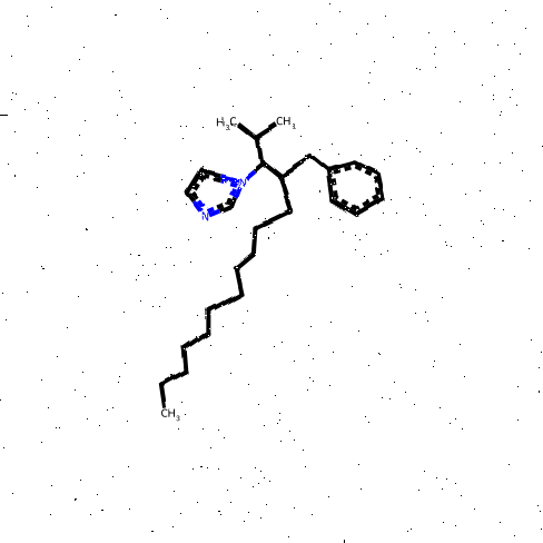 CCCCCCCCCCCC(Cc1ccccc1)C(C(C)C)n1ccnc1